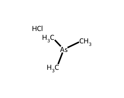 C[As](C)C.Cl